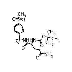 CC(C)(C)OC(=O)N[C@@H](CCC(N)=O)C(=O)NC1(c2ccc(S(C)(=O)=O)cc2)CC1